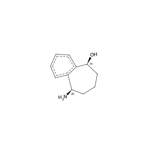 N[C@@H]1CCC[C@H](O)c2ccccc21